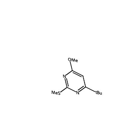 COc1cc(C(C)(C)C)nc(SC)n1